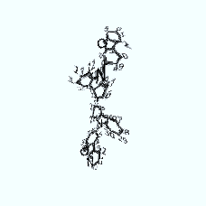 c1ccc2c(c1)oc1cc(-n3c4ccccc4c4cc(-c5ccc6c(c5)c5ccccc5n6-c5ccc6oc7ncccc7c6c5)ccc43)ccc12